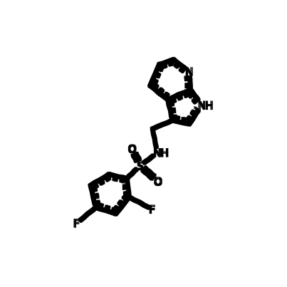 O=S(=O)(NCc1c[nH]c2ncccc12)c1ccc(F)cc1F